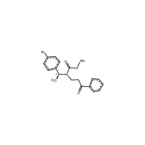 C[C@@H](c1ccc(Br)cc1)N(CCC(=O)c1ccccc1)C(=O)OC(C)(C)C